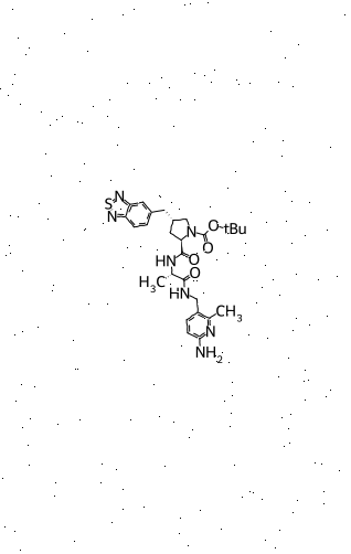 Cc1nc(N)ccc1CNC(=O)[C@H](C)NC(=O)[C@H]1C[C@H](Cc2ccc3nsnc3c2)CN1C(=O)OC(C)(C)C